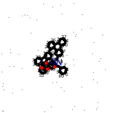 c1ccc(-c2cc(-c3ccccc3)nc(-c3ccc4c5ccccc5c5cccc(-c6ccc7c(c6)-c6ccccc6C7(c6ccccc6)c6ccccc6)c5c4c3)n2)cc1